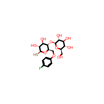 OC[C@H]1O[C@@H](O[C@H]2[C@H](O)[C@@H](O)[C@H](S)O[C@@H]2COc2ccc(F)cc2)[C@H](O)[C@@H](O)[C@@H]1O